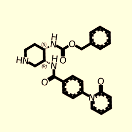 O=C(N[C@H]1CCNC[C@H]1NC(=O)c1ccc(-n2ccccc2=O)cc1)OCc1ccccc1